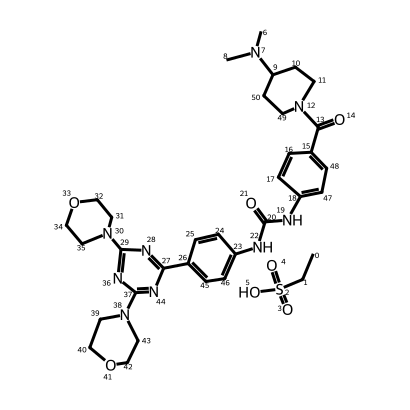 CCS(=O)(=O)O.CN(C)C1CCN(C(=O)c2ccc(NC(=O)Nc3ccc(-c4nc(N5CCOCC5)nc(N5CCOCC5)n4)cc3)cc2)CC1